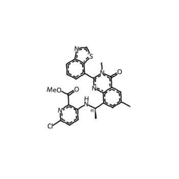 COC(=O)c1nc(Cl)ccc1N[C@H](C)c1cc(C)cc2c(=O)n(C)c(-c3cccc4ncsc34)nc12